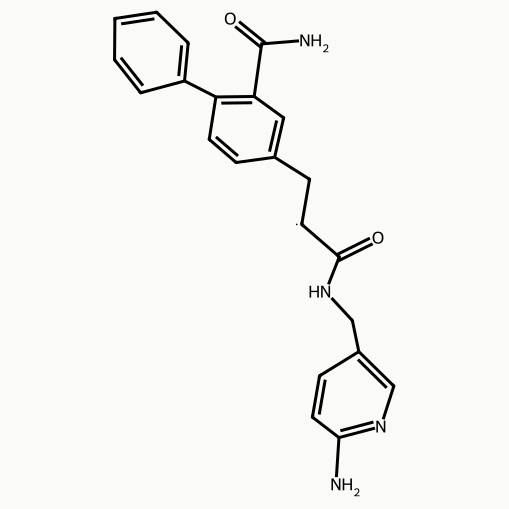 NC(=O)c1cc(C[CH]C(=O)NCc2ccc(N)nc2)ccc1-c1ccccc1